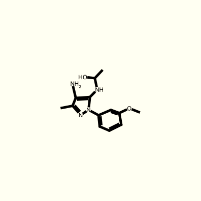 COc1cccc(-n2nc(C)c(N)c2NC(C)O)c1